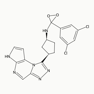 Clc1cc(Cl)cc(C2(N[C@H]3CC[C@@H](c4nnc5cnc6[nH]ccc6n45)C3)OO2)c1